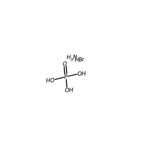 Br.N.O=P(O)(O)O